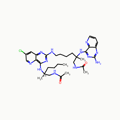 CCCC[C@](C)(CNC(C)=O)Nc1nc(NCCCCC(C)(CNC(C)=O)Nc2nc(N)nc3cccnc23)nc2cc(Cl)cnc12